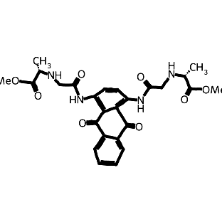 COC(=O)[C@H](C)NCC(=O)Nc1ccc(NC(=O)CN[C@H](C)C(=O)OC)c2c1C(=O)c1ccccc1C2=O